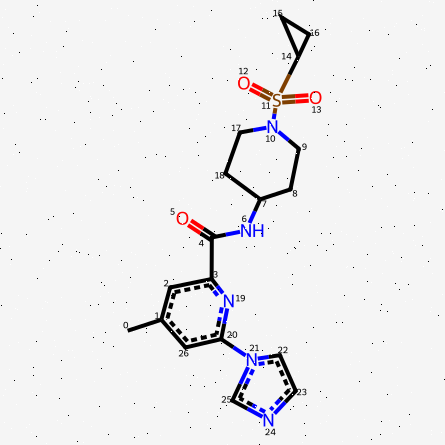 Cc1cc(C(=O)NC2CCN(S(=O)(=O)C3CC3)CC2)nc(-n2ccnc2)c1